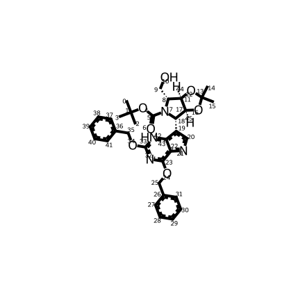 CC(C)(C)OC(=O)N1[C@H](CO)[C@H]2OC(C)(C)O[C@H]2[C@@H]1c1cnc2c(OCc3ccccc3)nc(OCc3ccccc3)[nH]c1-2